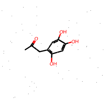 CC(=O)Cc1cc(O)c(O)cc1O